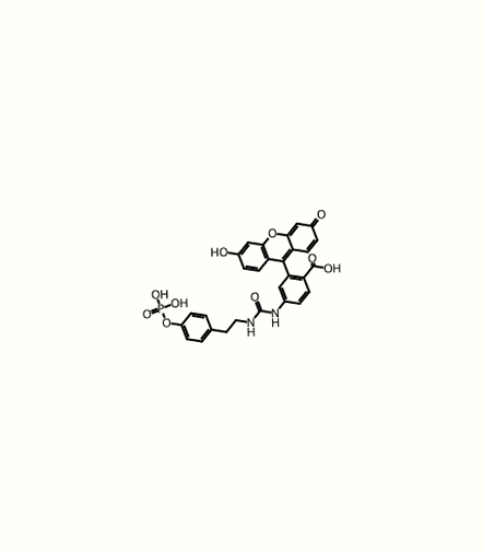 O=C(NCCc1ccc(OP(=O)(O)O)cc1)Nc1ccc(C(=O)O)c(-c2c3ccc(=O)cc-3oc3cc(O)ccc23)c1